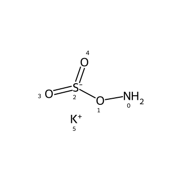 NO[S-](=O)=O.[K+]